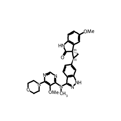 COc1ccc2c(c1)[C@]1(C[C@H]1c1ccc3c(N(C)c4ncnc(N5CCOCC5)c4OC)n[nH]c3c1)C(=O)N2